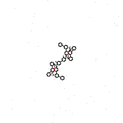 Cc1cc(-c2ccc(N(c3ccc(-c4cccc(-c5ccccc5)c4)cc3)c3ccccc3-c3ccc4sc5ccccc5c4c3)c(C)c2)ccc1N(c1ccc(-c2cccc(-c3ccccc3)c2)cc1)c1ccccc1-c1ccc2sc3ccccc3c2c1